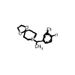 CC(c1ccc(Cl)c(Cl)c1)N1CCC2(CC1)OCCO2